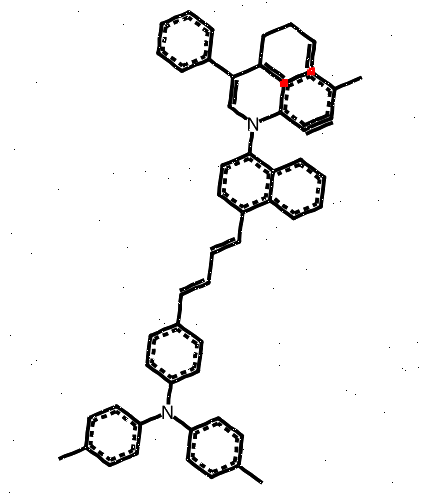 Cc1c#cc(N(/C=C(\C2=CC=CCC2)c2ccccc2)c2ccc(/C=C/C=C/c3ccc(N(c4ccc(C)cc4)c4ccc(C)cc4)cc3)c3ccccc23)cc1